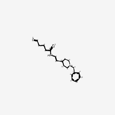 O=CCCCC(=O)NCCC1CCN(Cc2ccccc2)CC1